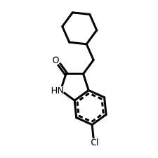 O=C1Nc2cc(Cl)ccc2C1CC1CCCCC1